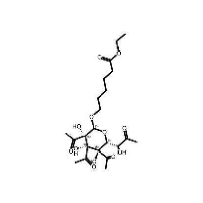 CCOC(=O)CCCCCO[C@H]1O[C@H](C(O)C(C)=O)[C@](O)(C(C)=O)[C@@](O)(C(C)=O)[C@@]1(O)C(C)=O